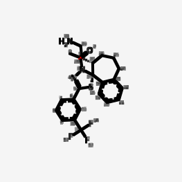 CC(=O)N1N=C(c2cccc(C(F)(F)F)c2)S[C@]12c1ccccc1CCC[C@H]2CCN